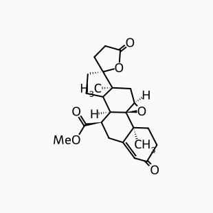 COC(=O)[C@@H]1CC2=CC(=O)CC[C@]2(C)[C@@]23O[C@@H]2C[C@@]2(C)C(CC[C@@]24CCC(=O)O4)[C@H]13